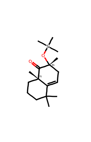 CC1(C)CCC[C@]2(C)C(=O)[C@](C)(O[Si](C)(C)C)CC=C12